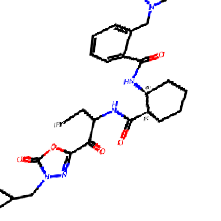 CC(C)CC(NC(=O)[C@@H]1CCCC[C@@H]1NC(=O)c1ccccc1CN(C)C)C(=O)c1nn(CC2CC2)c(=O)o1